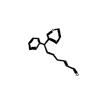 O=C/C=C/CCCC(c1ccccc1)c1cccnc1